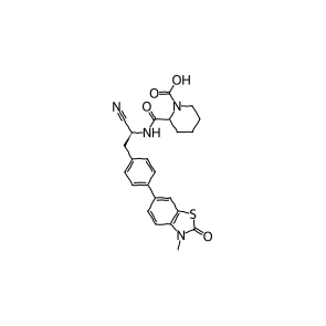 Cn1c(=O)sc2cc(-c3ccc(C[C@@H](C#N)NC(=O)C4CCCCN4C(=O)O)cc3)ccc21